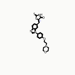 O=C1NC(=S)S/C1=C\c1ccc2ncn(-c3ccc(OCCN4CCOCC4)cc3)c2c1